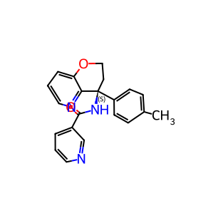 Cc1ccc([C@@]2(NC(=O)c3cccnc3)CCOc3cccnc32)cc1